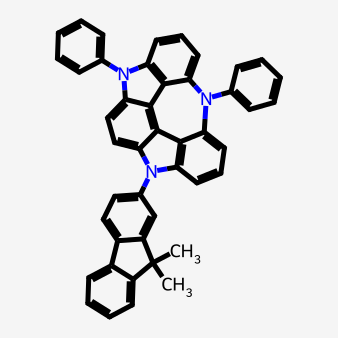 CC1(C)c2ccccc2-c2ccc(-n3c4ccc5c6c4c4c3cccc4n(-c3ccccc3)c3cccc(c63)n5-c3ccccc3)cc21